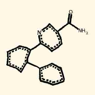 NC(=O)c1ccc(-c2ccccc2-c2ccccc2)nc1